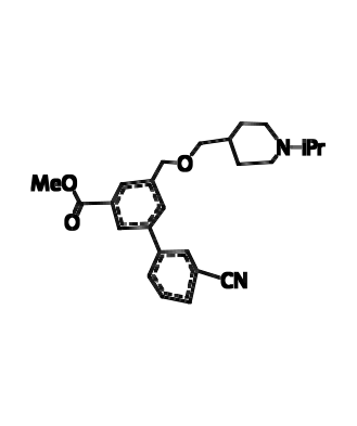 COC(=O)c1cc(COCC2CCN(C(C)C)CC2)cc(-c2cccc(C#N)c2)c1